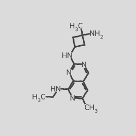 CCNc1nc(C)cc2cnc(NC3CC(C)(N)C3)nc12